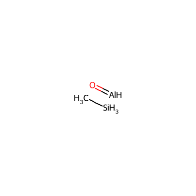 C[SiH3].[O]=[AlH]